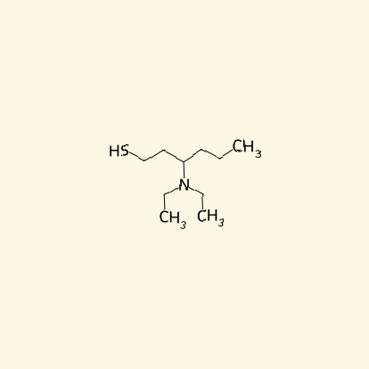 CCCC(CCS)N(CC)CC